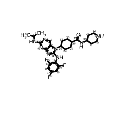 CC(C)Nc1ncc2c(n1)nc(Nc1c(F)cc(F)cc1F)n2C1CCC(C(=O)NC2CCNCC2)CC1